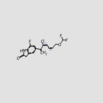 C=C(/C(Cl)=C\C=C/COC(F)F)c1cc(F)c2c(c1)CC(=O)N2